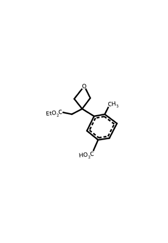 CCOC(=O)CC1(c2cc(C(=O)O)ccc2C)COC1